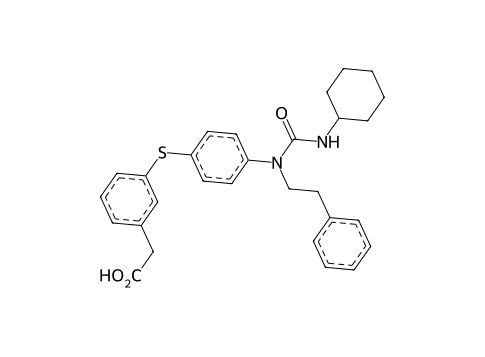 O=C(O)Cc1cccc(Sc2ccc(N(CCc3ccccc3)C(=O)NC3CCCCC3)cc2)c1